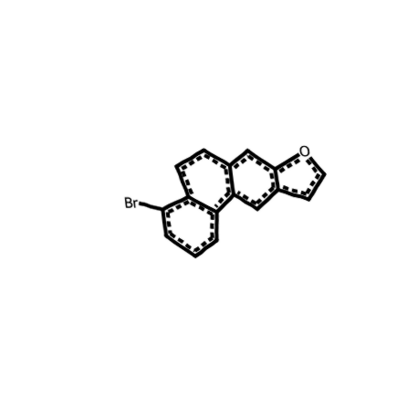 Brc1cccc2c1ccc1cc3occc3cc12